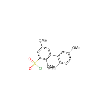 COc1ccc(OC)c(-c2cc(OC)cc(S(=O)(=O)Cl)c2OC)c1